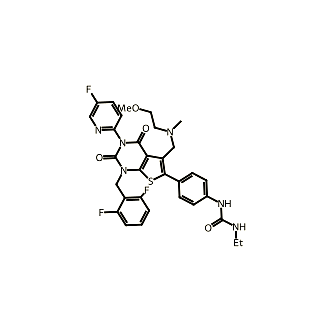 CCNC(=O)Nc1ccc(-c2sc3c(c2CN(C)CCOC)c(=O)n(-c2ccc(F)cn2)c(=O)n3Cc2c(F)cccc2F)cc1